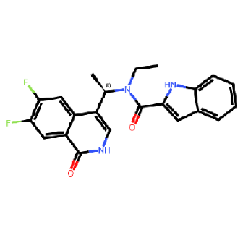 CCN(C(=O)c1cc2ccccc2[nH]1)[C@H](C)c1c[nH]c(=O)c2cc(F)c(F)cc12